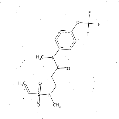 C=CS(=O)(=O)N(C)CCC(=O)N(C)c1ccc(OC(F)(F)F)cc1